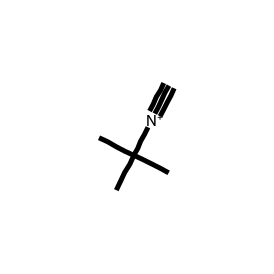 C#[N+]C(C)(C)C